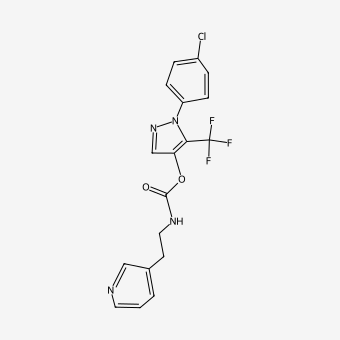 O=C(NCCc1cccnc1)Oc1cnn(-c2ccc(Cl)cc2)c1C(F)(F)F